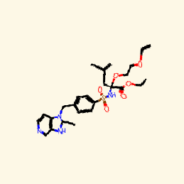 CCOCCO[C@@](CC(C)C)(NS(=O)(=O)c1ccc(CN2c3ccncc3NC2C)cc1)C(=O)OCC